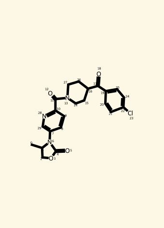 CC1COC(=O)N1c1ccc(C(=O)N2CCC(C(=O)c3ccc(Cl)cc3)CC2)nc1